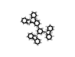 c1ccc2c(c1)nc1c3cc(-c4cc(-n5c6ccccc6c6ccccc65)cc(-n5c6ccccc6c6ccccc65)c4)ccc3c3ccccc3n21